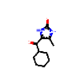 Cc1[nH]c(=O)[nH]c1C(=O)C1CCCCC1